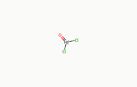 [O]=[Hf]([Cl])[Cl]